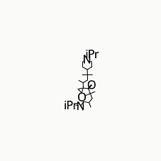 CC(CC(C)(C)C(=O)C1(C(C)CC(C)(C)C2CCN(C(C)C)CC2)CC1)C(=O)N(C)C(C)C